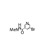 CNNC(=O)c1cncc(Br)c1